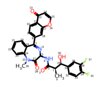 C[C@@H](C(=O)NC1N=C(c2ccc3c(=O)ccoc3c2)c2ccccc2N(C)C1=O)[C@@H](O)c1ccc(F)c(F)c1